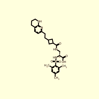 Cc1cc(C)c(S(=O)(=O)N[C@@H](CNC(=O)C2CC(CCc3ccc4c(n3)NCCC4)C2)C(=O)O)c(C)c1